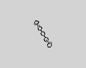 C1=CN(c2ccccn2)C=CC1=c1ccc(=C2C=CN(c3ccccn3)C=C2)cc1